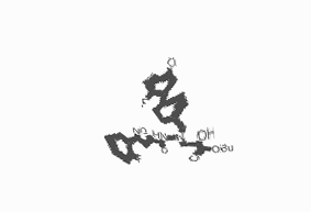 CC(C)COC(=O)C(O)CN(Cc1ccc(-c2cc(Cl)ccc2F)cc1)NC(=O)c1cc(-c2ccccc2F)no1